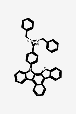 c1ccc(C[N@]2C(c3ccc(-n4c5ccccc5c5c6ccccc6c6c7ccccc7sc6c54)cc3)[N@]2Cc2ccccc2)cc1